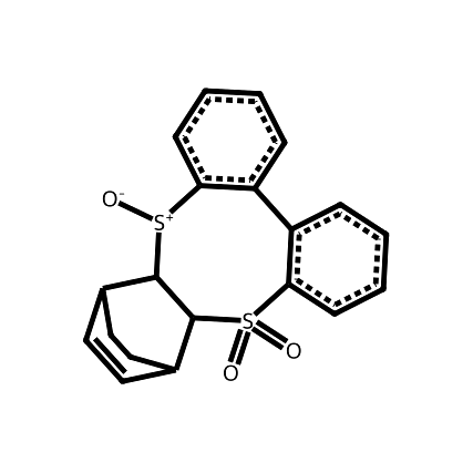 O=S1(=O)c2ccccc2-c2ccccc2[S+]([O-])C2C3C=CC(CC3)C21